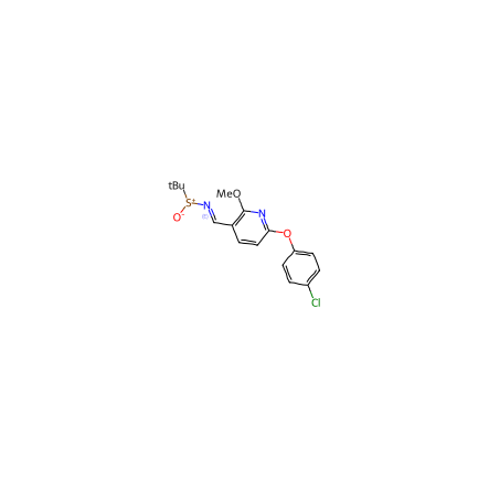 COc1nc(Oc2ccc(Cl)cc2)ccc1/C=N/[S+]([O-])C(C)(C)C